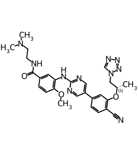 COc1ccc(C(=O)NCCN(C)C)cc1Nc1ncc(-c2ccc(C#N)c(O[C@@H](C)Cn3cnnn3)c2)cn1